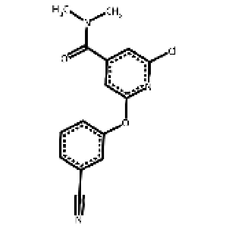 CN(C)C(=O)c1cc(Cl)nc(Oc2cccc(C#N)c2)c1